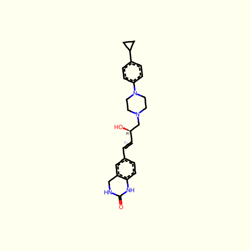 O=C1NCc2cc(/C=C/[C@@H](O)CN3CCN(c4ccc(C5CC5)cc4)CC3)ccc2N1